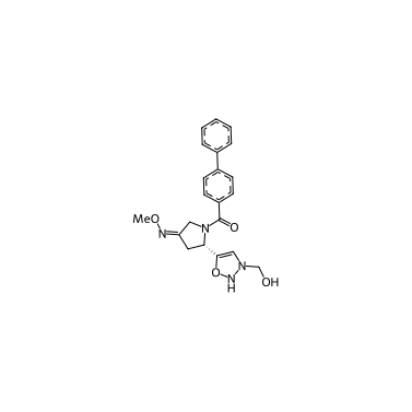 CON=C1C[C@@H](C2=CN(CO)NO2)N(C(=O)c2ccc(-c3ccccc3)cc2)C1